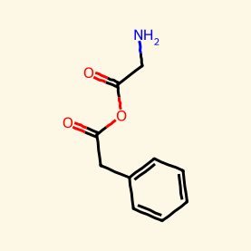 NCC(=O)OC(=O)Cc1ccccc1